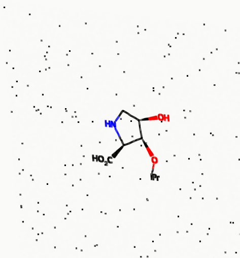 CC(C)O[C@@H]1[C@H](O)CN[C@@H]1C(=O)O